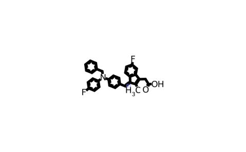 CC1=C(CC(=O)O)c2cc(F)ccc2/C1=C\c1ccc(N(Cc2ccccc2)c2ccc(F)cc2)cc1